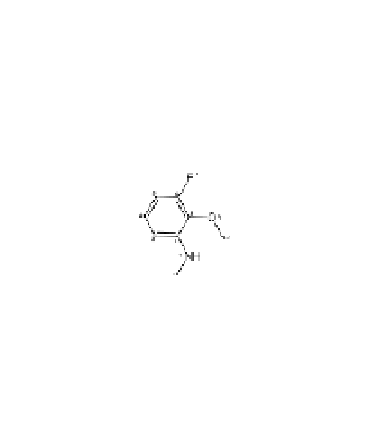 CNc1cccc(F)c1OC